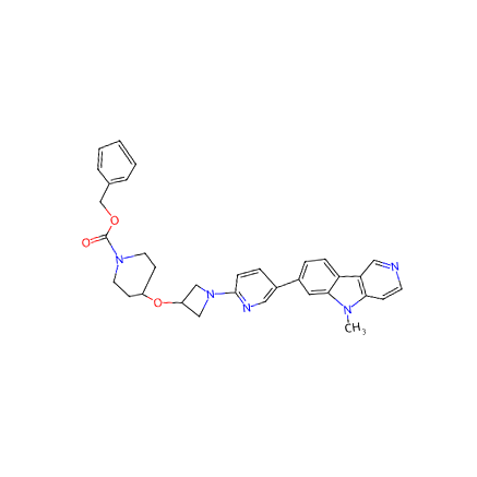 Cn1c2ccncc2c2ccc(-c3ccc(N4CC(OC5CCN(C(=O)OCc6ccccc6)CC5)C4)nc3)cc21